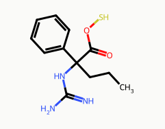 CCCC(NC(=N)N)(C(=O)OS)c1ccccc1